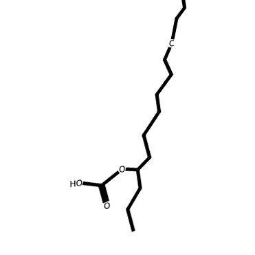 CCCCCCCCCCC(CCC)OC(=O)O